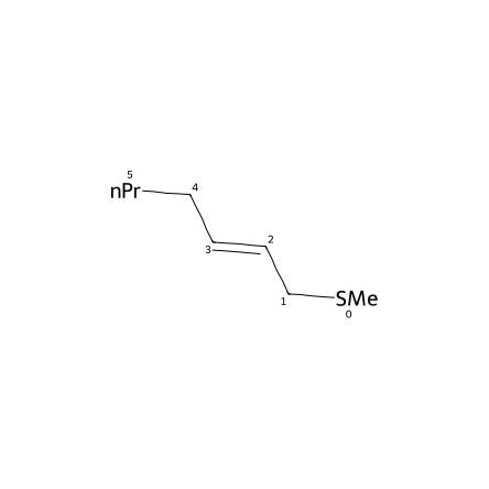 [CH2]SCC=CCCCC